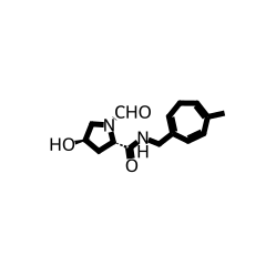 CC1=CCC=C(CNC(=O)[C@@H]2C[C@@H](O)CN2C=O)C=C1